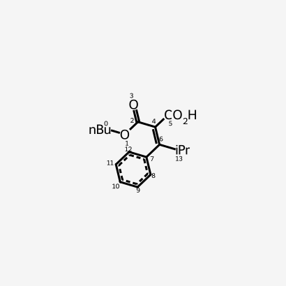 CCCCOC(=O)C(C(=O)O)=C(c1ccccc1)C(C)C